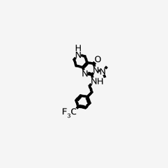 CN(C)n1c(NCCc2ccc(C(F)(F)F)cc2)nc2c(c1=O)CNCC2